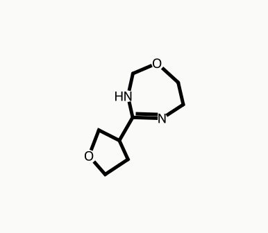 C1COCNC(C2CCOC2)=N1